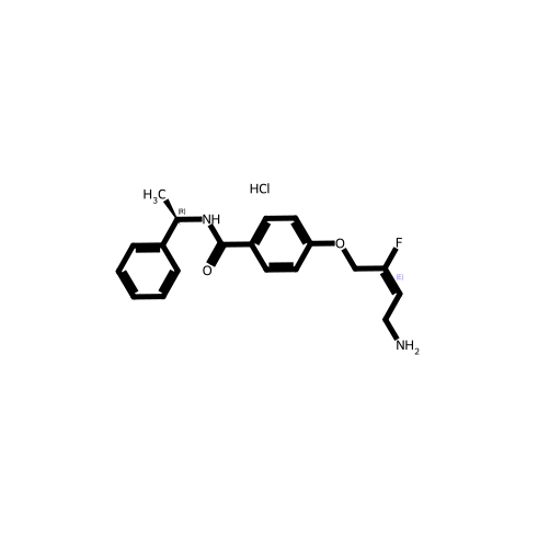 C[C@@H](NC(=O)c1ccc(OC/C(F)=C\CN)cc1)c1ccccc1.Cl